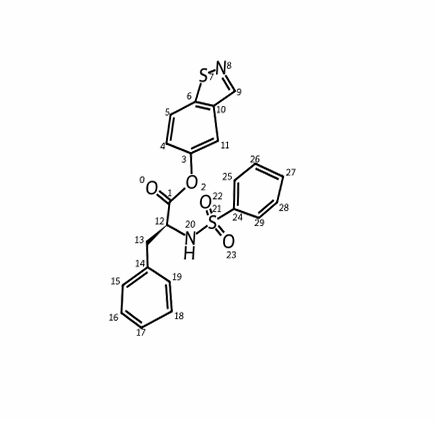 O=C(Oc1ccc2sncc2c1)[C@H](Cc1ccccc1)NS(=O)(=O)c1ccccc1